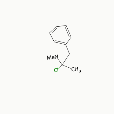 CNC(C)(Cl)Cc1ccccc1